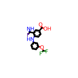 N=C(I)c1cc(C(=O)O)ccc1Nc1cccc(OC(F)F)c1